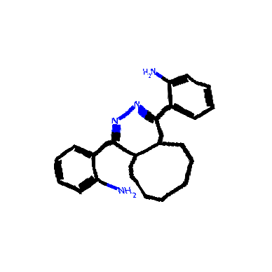 Nc1ccccc1C1=NN=C(c2ccccc2N)C2CCCCCCC12